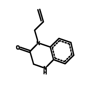 C=CCN1C(=O)CNc2ccccc21